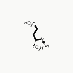 N=N[C@@H](CCC(=O)O)C(=O)O